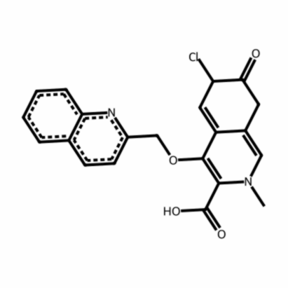 CN1C=C2CC(=O)C(Cl)C=C2C(OCc2ccc3ccccc3n2)=C1C(=O)O